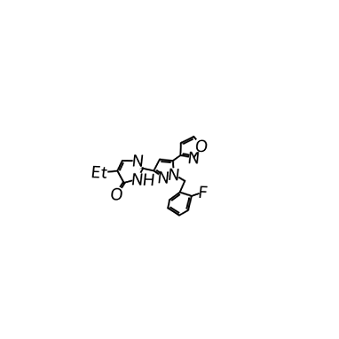 CCc1cnc(-c2cc(-c3ccon3)n(Cc3ccccc3F)n2)[nH]c1=O